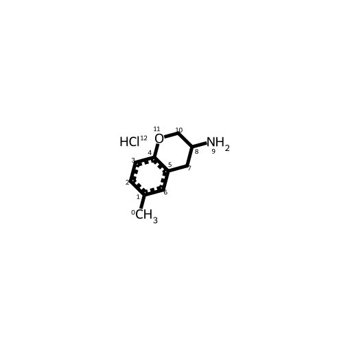 Cc1ccc2c(c1)CC(N)CO2.Cl